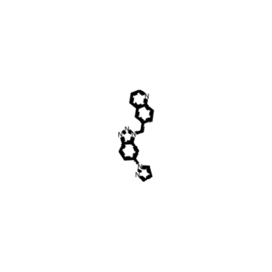 c1cnc2ccc(Cn3nnc4ccc(-n5cccn5)cc43)cc2c1